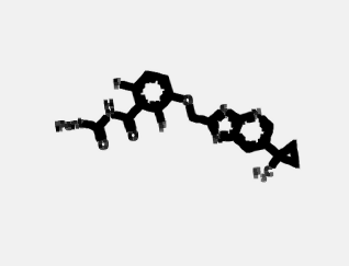 CCCC(C)C(=O)NC(=O)c1c(F)ccc(OCc2nc3cc(C4(C(F)(F)F)CC4)cnc3s2)c1F